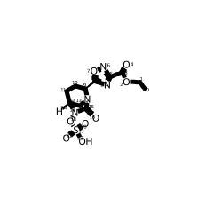 CCOC(=O)c1noc([C@@H]2CC[C@@H]3CN2C(=O)N3OS(=O)(=O)O)n1